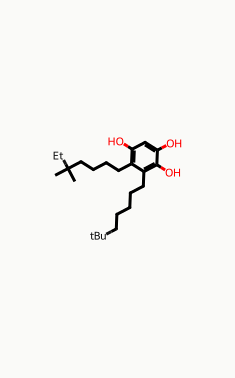 CCC(C)(C)CCCCc1c(O)cc(O)c(O)c1CCCCCC(C)(C)C